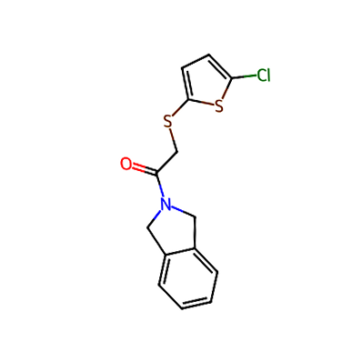 O=C(CSc1ccc(Cl)s1)N1Cc2ccccc2C1